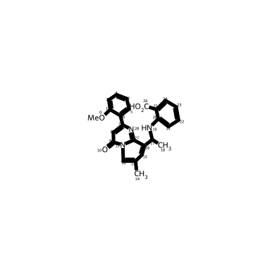 COc1ccccc1-c1cc(=O)n2cc(C)cc(C(C)Nc3ccccc3C(=O)O)c2n1